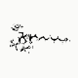 COCCOCCOCC(=O)NC(COP(=O)(O)O)(COP(=O)(O)O)COP(=O)(O)O